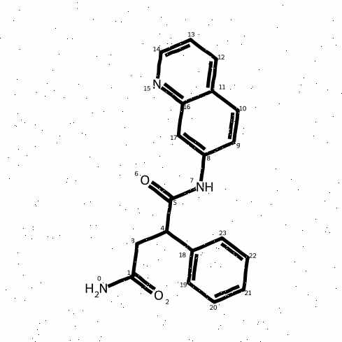 NC(=O)CC(C(=O)Nc1ccc2cccnc2c1)c1ccccc1